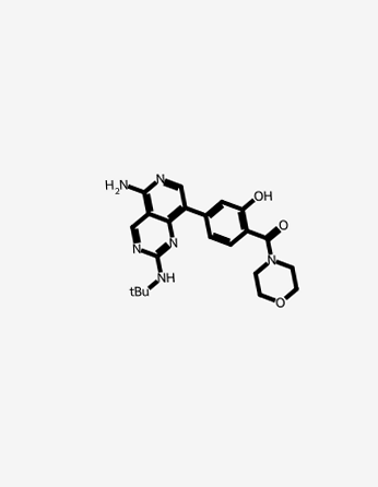 CC(C)(C)Nc1ncc2c(N)ncc(-c3ccc(C(=O)N4CCOCC4)c(O)c3)c2n1